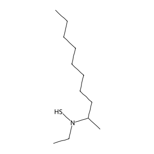 CCCCCCCCC(C)N(S)CC